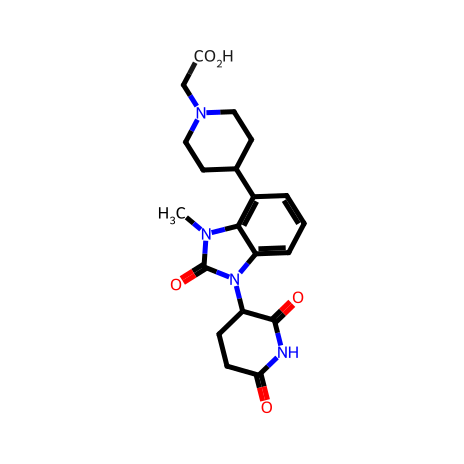 Cn1c(=O)n(C2CCC(=O)NC2=O)c2cccc(C3CCN(CC(=O)O)CC3)c21